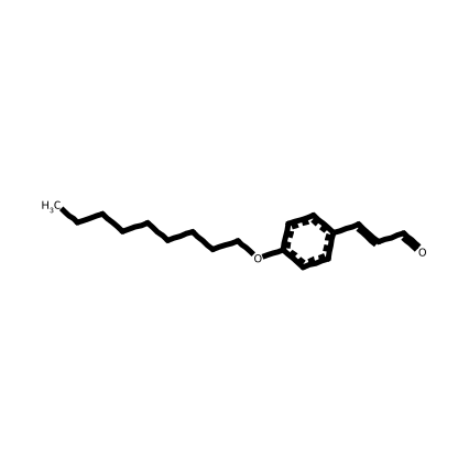 CCCCCCCCCOc1ccc(C=CC=O)cc1